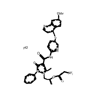 COc1ccc2c(Oc3ccc(NC(=O)c4c(C)n(CC(C)OC(=O)CN)n(-c5ccccc5)c4=O)nc3)ccnc2c1.Cl